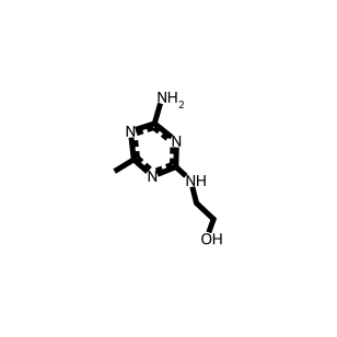 Cc1nc(N)nc(NCCO)n1